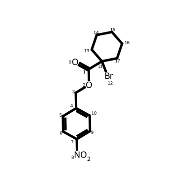 O=C(OCc1ccc([N+](=O)[O-])cc1)C1(Br)CCCCC1